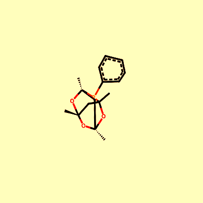 CC12C[C@]3(C)O[C@@](C)(C[C@@](C)(O3)P1c1ccccc1)O2